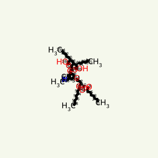 CCCCCCCC(=O)OC[C@@H](CCOc1cc(CN(C)C)cc(OCCC(CC(CCCCCC)C(=O)O)[C@@H](CCCCCC)C(=O)O)c1)OC(=O)CCCCCCC